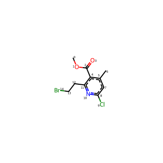 COC(=O)c1c(C)cc(Cl)nc1CCBr